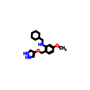 COc1ccc(COC2=CNNC2)c(NCC2CCCCC2)c1